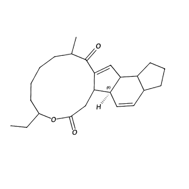 CCC1CCCCC(C)C(=O)C2=CC3C4CCCC4C=C[C@H]3C2CC(=O)O1